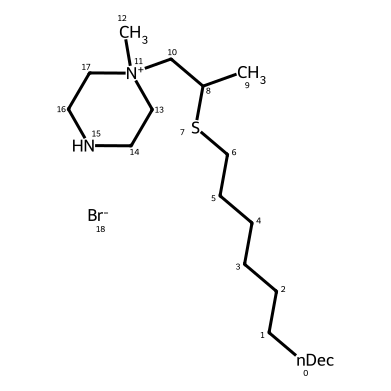 CCCCCCCCCCCCCCCCSC(C)C[N+]1(C)CCNCC1.[Br-]